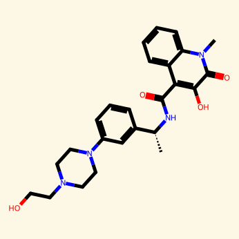 C[C@@H](NC(=O)c1c(O)c(=O)n(C)c2ccccc12)c1cccc(N2CCN(CCO)CC2)c1